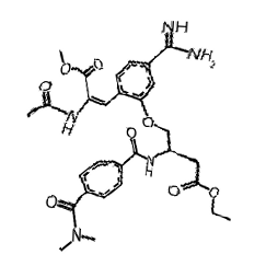 CCOC(=O)C[C@H](COc1cc(C(=N)N)ccc1/C=C(/NC(C)=O)C(=O)OC)NC(=O)c1ccc(C(=O)N(C)C)cc1